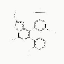 COc1ccccc1-c1nc(N)n2nc(CO)nc2c1-c1cc(C)nc(C(F)(F)F)c1